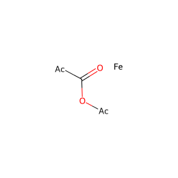 CC(=O)OC(=O)C(C)=O.[Fe]